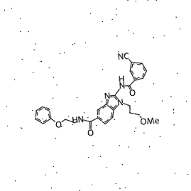 COCCCn1c(NC(=O)c2cccc(C#N)c2)nc2cc(C(=O)NCCOc3ccccc3)ccc21